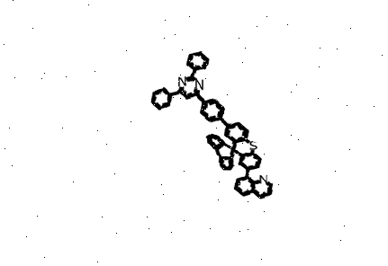 c1ccc(-c2cc(-c3ccc(-c4ccc5c(c4)C4(c6cc(-c7cccc8cccnc78)ccc6S5)c5ccccc5-c5ccccc54)cc3)nc(-c3ccccc3)n2)cc1